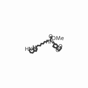 COC(=O)[C@H](CCCCCCCc1ccc2c(n1)NCCC2)NCc1ccc2c(c1)OCCO2